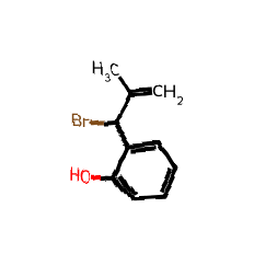 C=C(C)C(Br)c1ccccc1O